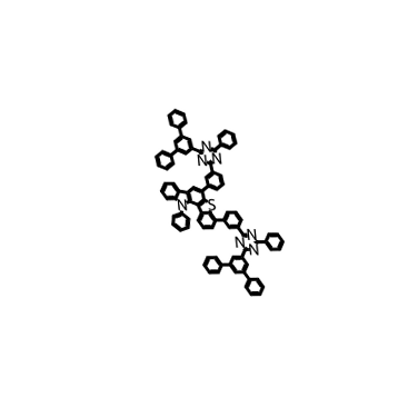 c1ccc(-c2cc(-c3ccccc3)cc(-c3nc(-c4ccccc4)nc(-c4cccc(-c5cccc6c5sc5c(-c7cccc(-c8nc(-c9ccccc9)nc(-c9cc(-c%10ccccc%10)cc(-c%10ccccc%10)c9)n8)c7)cc7c8ccccc8n(-c8ccccc8)c7c56)c4)n3)c2)cc1